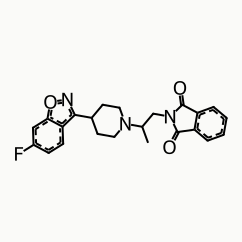 CC(CN1C(=O)c2ccccc2C1=O)N1CCC(c2noc3cc(F)ccc23)CC1